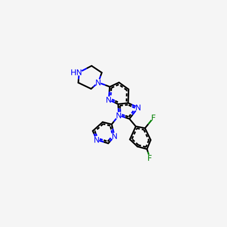 Fc1ccc(-c2nc3ccc(N4CCNCC4)nc3n2-c2ccncn2)c(F)c1